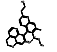 Cc1cc2nc(CCO)ccc2c(-c2ccc3c4c(ccnc24)CCO3)c1[C@H](OC(C)(C)C)C(=O)O